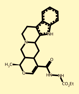 CCOC(=O)NNC(=O)C1=CO[C@@H](C)C2CN3CCc4c([nH]c5ccccc45)C3CC12